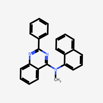 CN(c1cccc2ccccc12)c1nc(-c2ccccc2)nc2ccccc12